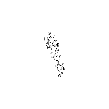 O=Cc1ncc(N2CCN(c3cc(F)c(C4CCC(=O)NC4=O)c(F)c3)CC2)cn1